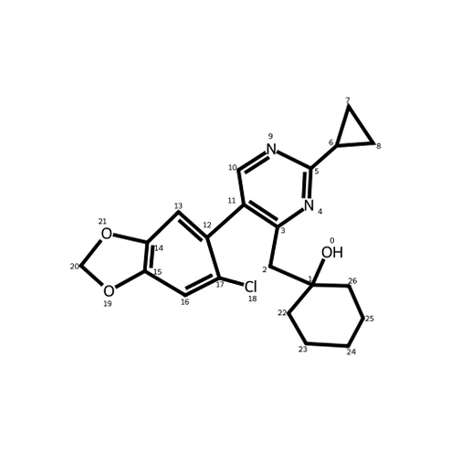 OC1(Cc2nc(C3CC3)ncc2-c2cc3c(cc2Cl)OCO3)CCCCC1